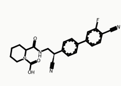 N#Cc1ccc(-c2ccc([C@@H](C#N)CNC(=O)C3CCCCN3C(=O)O)cc2)cc1F